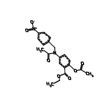 CCOC(=O)c1cc(N(Cc2ccc([N+](=O)[O-])cc2)C(C)=O)ccc1OC(C)=O